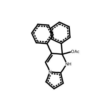 CC(=O)OC1(c2ccccc2)Nc2cccn2C=C1c1ccccc1